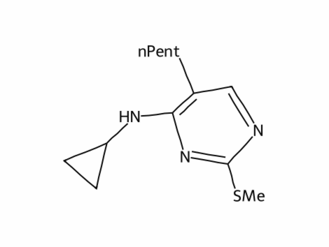 CCCCCc1cnc(SC)nc1NC1CC1